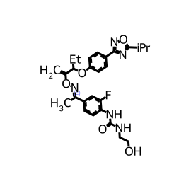 C=C(O/N=C(\C)c1ccc(NC(=O)NCCO)c(F)c1)C(CC)Oc1ccc(-c2noc(C(C)C)n2)cc1